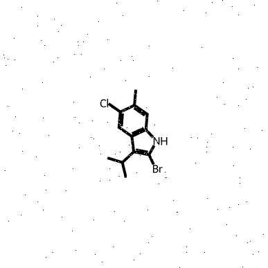 Cc1cc2[nH]c(Br)c(C(C)C)c2cc1Cl